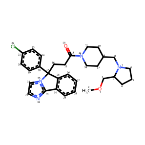 COCC1CCCN1CC1CCN(C(=O)CCC2(c3ccc(Cl)cc3)c3ccccc3-c3nccn32)CC1